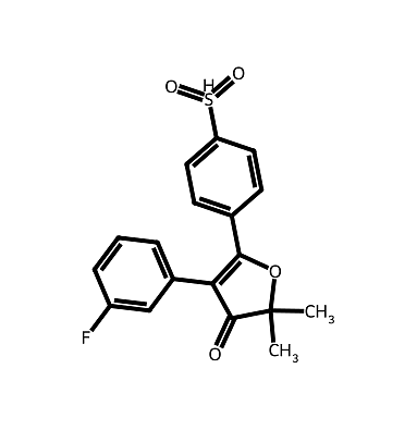 CC1(C)OC(c2ccc([SH](=O)=O)cc2)=C(c2cccc(F)c2)C1=O